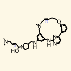 CN(C)C/C=C/C(O)N1CCC(CNc2cc3cc(c2)Nc2nccc(n2)-c2cccc(c2)OCC/C=C/CN(C)C3)C1